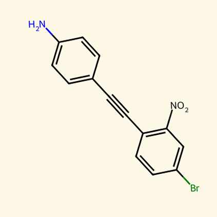 Nc1ccc(C#Cc2ccc(Br)cc2[N+](=O)[O-])cc1